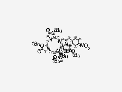 CC(C)(C)OC(=O)CN1CCN(CC(=O)OC(C)(C)C)CCN(CC(Cc2ccc([N+](=O)[O-])cc2)N(CC(=O)OC(C)(C)C)CC(=O)OC(C)(C)C)CCN(CC(=O)OC(C)(C)C)CC1